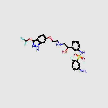 Nc1ccc(F)c(S(=O)(=O)Nc2cccc(C(O)CNCCOc3ccc4c(OC(F)F)n[nH]c4c3)c2)c1